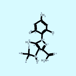 Cc1cc(Cl)c(-n2nc(C(N)=S)c([S+]([O-])C(F)(F)F)c2N)c(Cl)c1